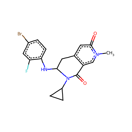 Cn1cc2c(cc1=O)CC(Nc1ccc(Br)cc1F)N(C1CC1)C2=O